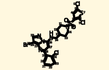 O=S(=O)(c1cc(Cl)sc1Cl)N1CCC(CNc2cc(-c3ccccc3Cl)nc3c(Br)cnn23)CC1